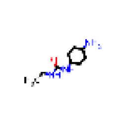 CCNC(=O)NC1CCC(N)CC1